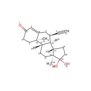 C#C[C@@H]1CC2=CC(=O)CC[C@]2(C)[C@H]2CC[C@@]3(C)[C@@H](CCC3(O)O)[C@H]12